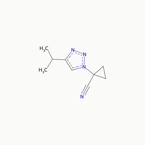 CC(C)c1cn(C2(C#N)CC2)nn1